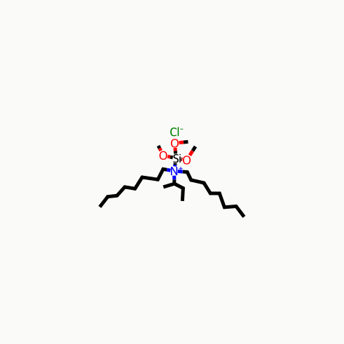 CCCCCCCC[N+](CCCCCCCC)(C(C)CC)[Si](OC)(OC)OC.[Cl-]